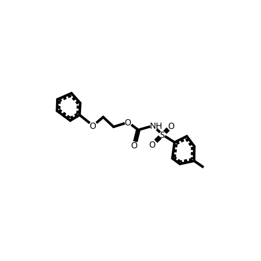 Cc1ccc(S(=O)(=O)NC(=O)OCCOc2ccccc2)cc1